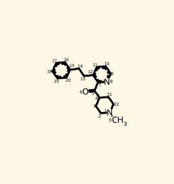 CN1CCC(C(=O)c2ncccc2CCc2ccccc2)CC1